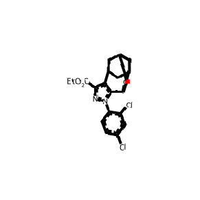 CCOC(=O)c1nn(-c2ccc(Cl)cc2Cl)c2c1C1CC3CC(C1)CC2C3